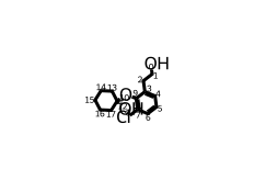 OCCc1cccc(Cl)c1OC1(O)CCCCC1